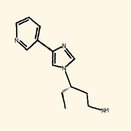 CC[C@@H](CC[NH])n1cnc(-c2cccnc2)c1